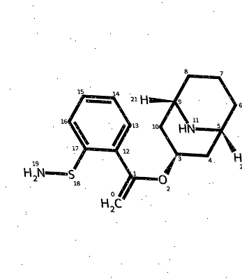 C=C(O[C@@H]1C[C@H]2CCC[C@@H](C1)N2)c1ccccc1SN